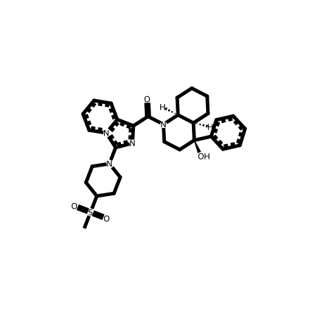 CS(=O)(=O)C1CCN(c2nc(C(=O)N3CC[C@@](O)(c4ccccc4)[C@@H]4CCCC[C@@H]43)c3ccccn23)CC1